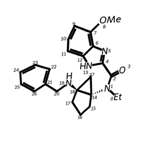 CCN(C(=O)c1nc2c(OC)cccc2[nH]1)[C@]12CCC[C@]1(NCc1ccccc1)C2